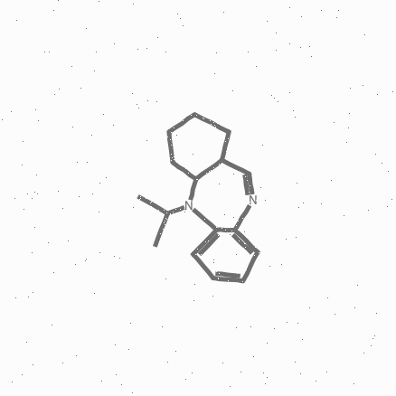 CC(C)N1c2ccccc2N=CC2CCCCC21